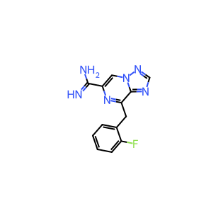 N=C(N)c1cn2ncnc2c(Cc2ccccc2F)n1